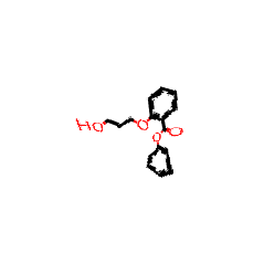 O=C(Oc1ccccc1)c1ccccc1OCCCO